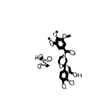 COc1cc(C(=O)N2CCO[C@](CCO)(c3ccc(Cl)c(Cl)c3)C2)cc(OC)c1OC.CS(=O)(=O)O